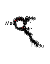 CCCCNC(=O)c1cnc(N2CCN(CCOCCC(=O)N3CCN(c4ncc(CNC(=O)O[C@@H]5/C(C)=C/[C@@H](C)C(=O)C[C@@H]([C@H](N)C[C@@H]6CC[C@@H](O)[C@H](OC)C6)OC(=O)[C@@H]6CCCCN6C(=O)C(=O)[C@]6(O)O[C@@H](CC[C@H]6C)C[C@H](OC)/C(C)=C/C=C/C=C/[C@@H](C)C[C@@H](C)C(=O)[C@@H]5OC)cn4)CC3)CC2)nc1